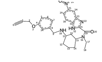 C#CCOc1cccc(CNC2CCCC(N(CC)C(=O)c3nc4cc([N+](=O)[O-])ccc4[nH]3)C2)c1